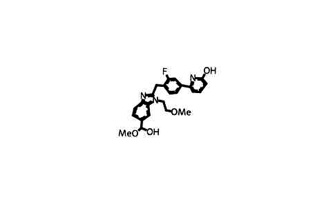 COCCn1c(Cc2ccc(-c3cccc(O)n3)cc2F)nc2ccc(C(O)OC)cc21